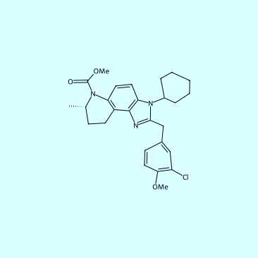 COC(=O)N1c2ccc3c(nc(Cc4ccc(OC)c(Cl)c4)n3C3CCCCC3)c2CC[C@@H]1C